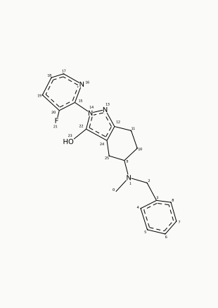 CN(Cc1ccccc1)C1CCc2nn(-c3ncccc3F)c(O)c2C1